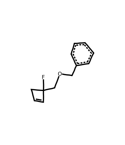 FC1(COCc2ccccc2)C=CC1